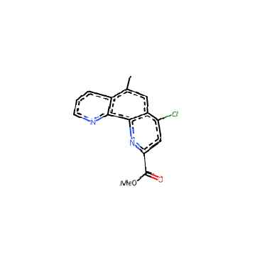 COC(=O)c1cc(Cl)c2cc(C)c3cccnc3c2n1